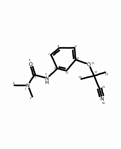 CN(C)C(=O)Nc1cccc(OC(C)(C)C#N)c1